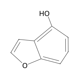 Oc1cccc2occc12